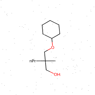 CCCC(C)(CO)COC1CCCCC1